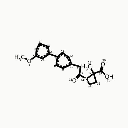 COc1cccc(-c2ccc(CC(=O)N3CCC3(C)C(=O)O)cc2)c1